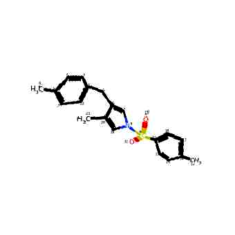 Cc1ccc(Cc2cn(S(=O)(=O)c3ccc(C)cc3)cc2C)cc1